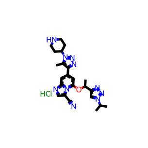 Cc1c(-c2cc(OC(C)c3cn(C(C)C)nn3)n3c(C#N)cnc3c2)nnn1C1CCNCC1.Cl